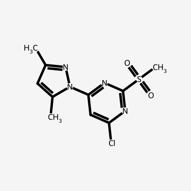 Cc1cc(C)n(-c2cc(Cl)nc(S(C)(=O)=O)n2)n1